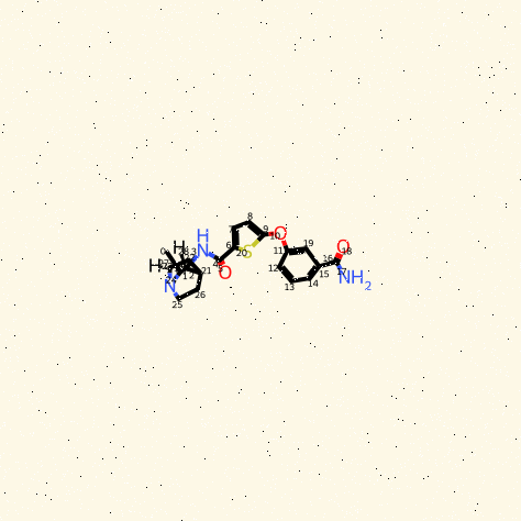 C[C@H]1[C@H](NC(=O)c2ccc(Oc3cccc(C(N)=O)c3)s2)C2CCN1CC2